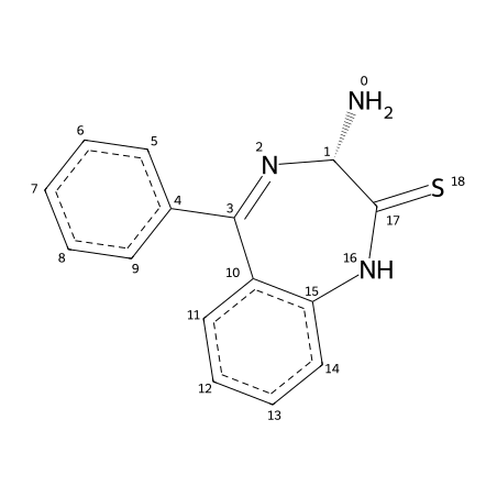 N[C@H]1N=C(c2ccccc2)c2ccccc2NC1=S